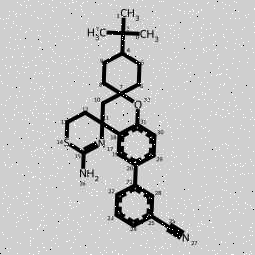 CC(C)(C)C1CCC2(CC1)CC1(CCSC(N)=N1)c1cc(-c3cccc(C#N)c3)ccc1O2